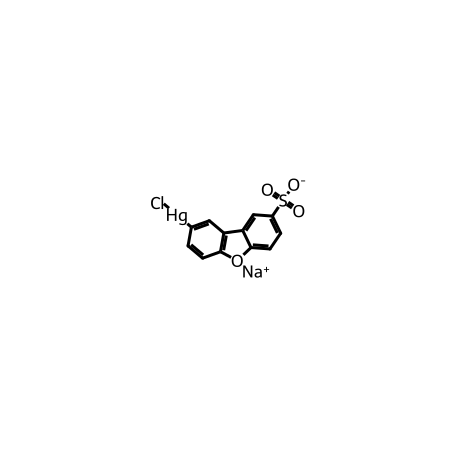 O=S(=O)([O-])c1ccc2oc3cc[c]([Hg][Cl])cc3c2c1.[Na+]